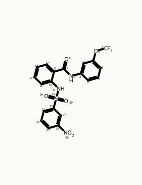 O=C(Nc1cccc(OC(F)(F)F)c1)c1ccccc1NS(=O)(=O)c1cccc([N+](=O)[O-])c1